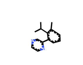 Cc1cccc(-c2cnccn2)c1C(C)C